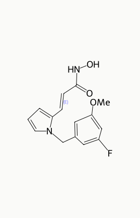 COc1cc(F)cc(Cn2cccc2/C=C/C(=O)NO)c1